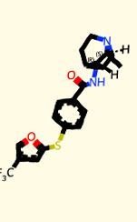 C[C@H]1[C@H](NC(=O)c2ccc(Sc3cc(C(F)(F)F)co3)cc2)C2CCN1CC2